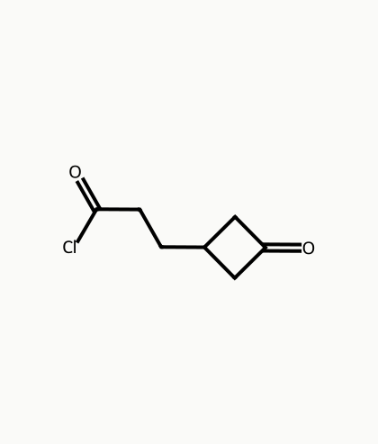 O=C(Cl)CCC1CC(=O)C1